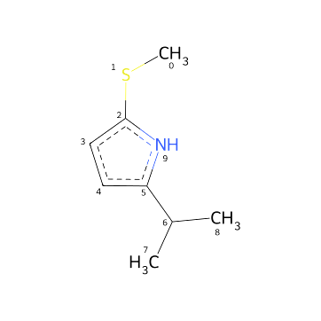 CSc1ccc(C(C)C)[nH]1